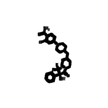 NC(=O)c1ccc(N2CCC(CC3CCN(C(=O)[C@](O)(c4ccccc4)C(F)(F)F)CC3)CC2)cc1Cl